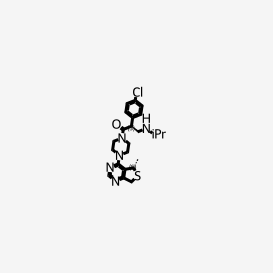 CC(C)NC[C@@H](C(=O)N1CCN(c2ncnc3c2[C@H](C)SC3)CC1)c1ccc(Cl)cc1